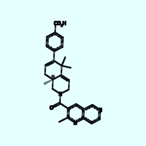 Cc1nc2ccncc2cc1C(=O)N1CC=C2C(C)(C)C(c3ccc(C(=O)O)cc3)=CC[C@]2(C)C1